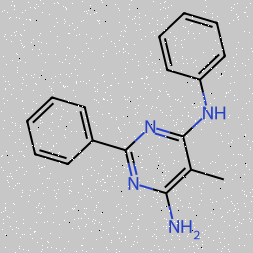 Cc1c(N)nc(-c2ccccc2)nc1Nc1ccccc1